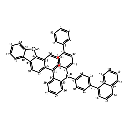 c1ccc(-c2ccc(N(c3ccc(-c4cccc5ccccc45)cc3)c3ccccc3-c3cccc4c3ccc3c5ccccc5oc43)cc2)cc1